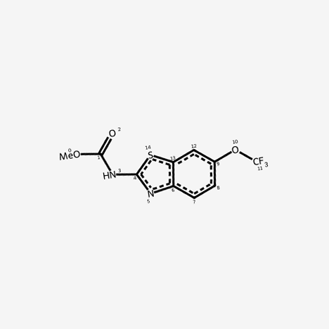 COC(=O)Nc1nc2ccc(OC(F)(F)F)cc2s1